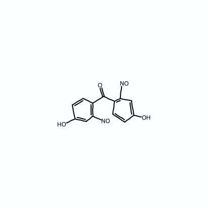 O=Nc1cc(O)ccc1C(=O)c1ccc(O)cc1N=O